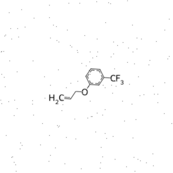 C=CCOc1cccc(C(F)(F)F)c1